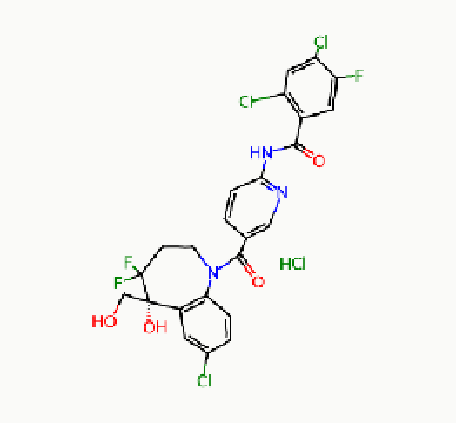 Cl.O=C(Nc1ccc(C(=O)N2CCC(F)(F)[C@](O)(CO)c3cc(Cl)ccc32)cn1)c1cc(F)c(Cl)cc1Cl